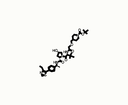 CCc1ncsc1-c1ccc([C@H](C)NC(=O)[C@@H]2C[C@@H](O)CN2C(=O)[C@@H](NC(=O)COCC2CCN(C(=O)OC(C)(C)C)CC2)C(C)(C)C)cc1